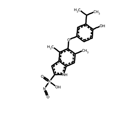 Cc1cc2[nH]c(P(=O)(O)N=O)cc2c(C)c1Oc1ccc(O)c(C(C)C)c1